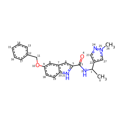 CC(NC(=O)c1cc2cc(OCc3ccccc3)ccc2[nH]1)c1cnn(C)c1